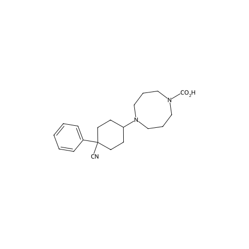 N#CC1(c2ccccc2)CCC(N2CCCN(C(=O)O)CCC2)CC1